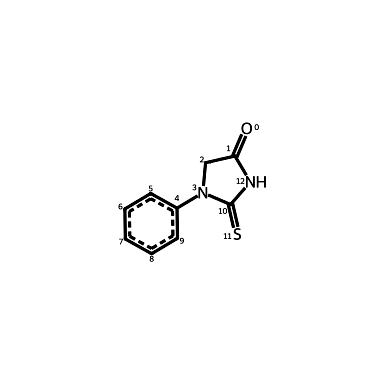 O=C1[CH]N(c2ccccc2)C(=S)N1